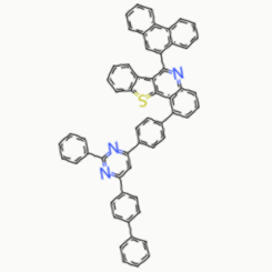 c1ccc(-c2ccc(-c3cc(-c4ccc(-c5cccc6nc(-c7cc8ccccc8c8ccccc78)c7c8ccccc8sc7c56)cc4)nc(-c4ccccc4)n3)cc2)cc1